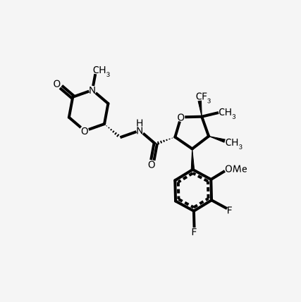 COc1c([C@H]2[C@H](C(=O)NC[C@H]3CN(C)C(=O)CO3)O[C@@](C)(C(F)(F)F)[C@H]2C)ccc(F)c1F